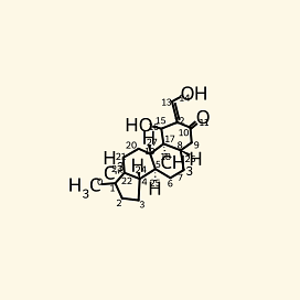 CC1CC[C@H]2[C@@H]3CC[C@H]4CC(=O)C(=CO)C(O)[C@]4(C)[C@H]3CC[C@]12C